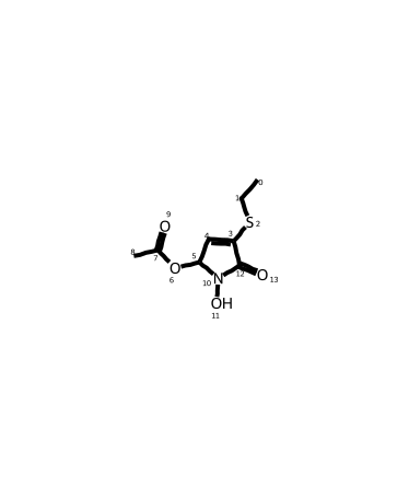 CCSC1=CC(OC(C)=O)N(O)C1=O